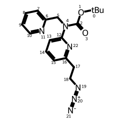 CC(C)(C)OC(=O)N(Cc1ccccn1)c1cccc(CCN=[N+]=[N-])n1